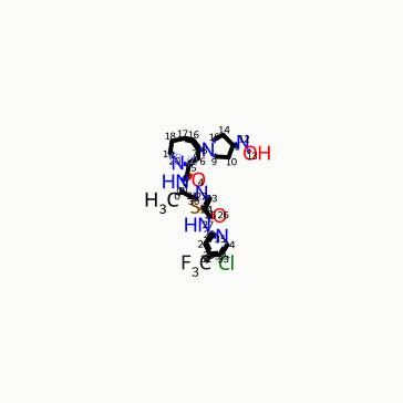 C[C@@H](NC(=O)C1=C/C(N2CCC(=NO)CC2)=C=CC/C=N\1)c1ncc(C(=O)Nc2cc(C(F)(F)F)c(Cl)cn2)s1